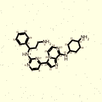 NCCC(Nc1nccc(-c2cnc3c(NC4CCC(N)CC4)nccn23)n1)c1ccccc1